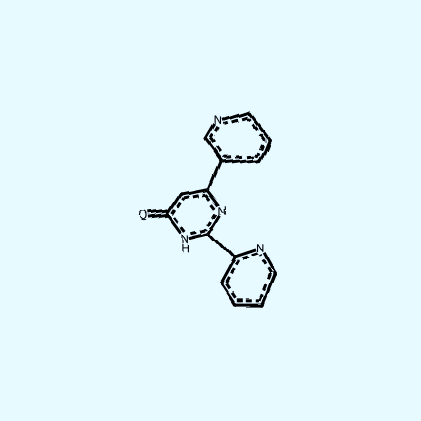 O=c1cc(-c2cccnc2)nc(-c2ccccn2)[nH]1